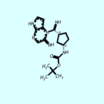 CC(C)(C)OC(=O)N[C@H]1CC[C@@H](C(=N)n2c(=N)cnc3[nH]ccc32)C1